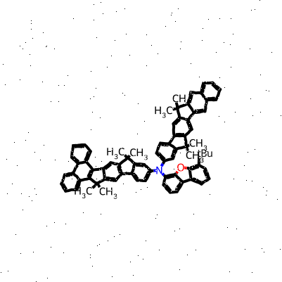 CC(C)(C)c1cccc2c1oc1c(N(c3ccc4c(c3)C(C)(C)c3cc5c(cc3-4)C(C)(C)c3cc4ccccc4cc3-5)c3ccc4c(c3)C(C)(C)c3cc5c(cc3-4)C(C)(C)c3c-5c4ccccc4c4ccccc34)cccc12